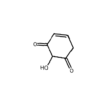 O=C1C=CCC(=O)C1O